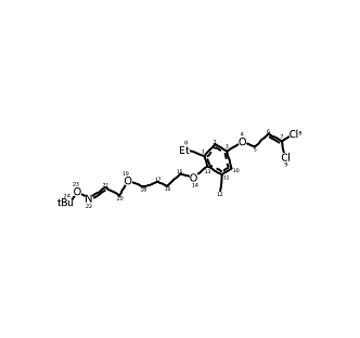 CCc1cc(OCC=C(Cl)Cl)cc(C)c1OCCCCOCC=NOC(C)(C)C